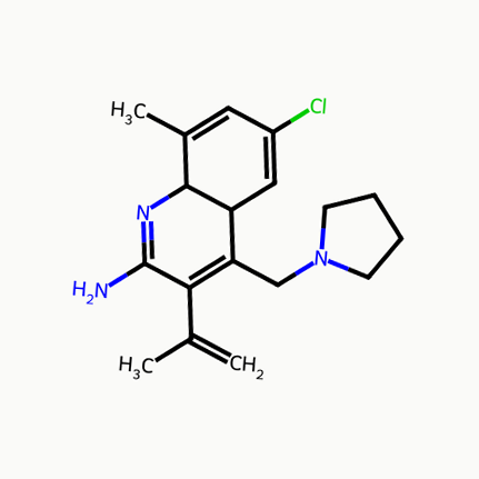 C=C(C)C1=C(CN2CCCC2)C2C=C(Cl)C=C(C)C2N=C1N